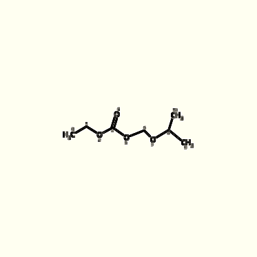 CCOC(=O)OCOC(C)C